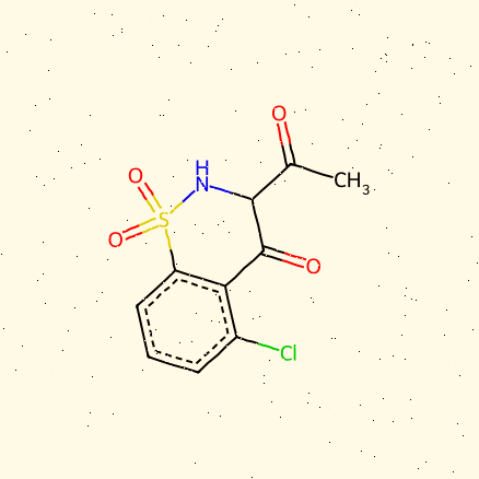 CC(=O)C1NS(=O)(=O)c2cccc(Cl)c2C1=O